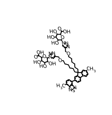 Cc1ccc2c(c1)C(CCCCCCOCc1cn(C3OC(C(=O)O)C(O)C(O)C3O)nn1)(CCCCCCOCc1cn(C3OC(C(=O)O)C(O)C(O)C3O)nn1)c1cc(-c3ccc(C)c4nsnc34)ccc1-2